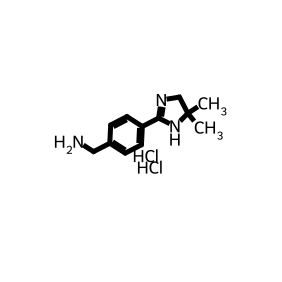 CC1(C)CN=C(c2ccc(CN)cc2)N1.Cl.Cl